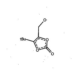 CC(C)(C)c1oc(=O)oc1C[O]